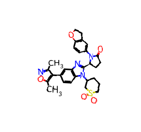 Cc1noc(C)c1-c1ccc2c(c1)nc([C@@H]1CCC(=O)N1c1ccc3c(c1)CCO3)n2C1CCCS(=O)(=O)C1